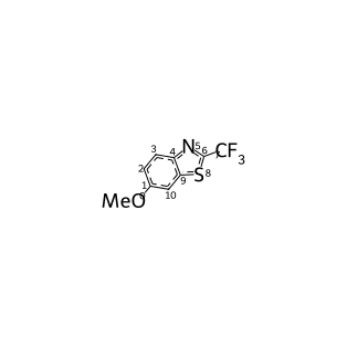 COc1ccc2nc(C(F)(F)F)sc2c1